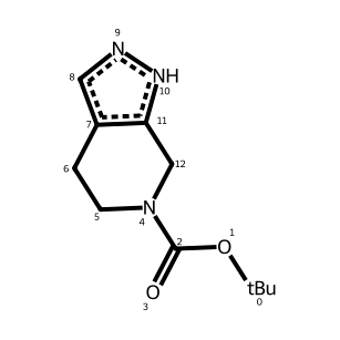 CC(C)(C)OC(=O)N1CCc2cn[nH]c2C1